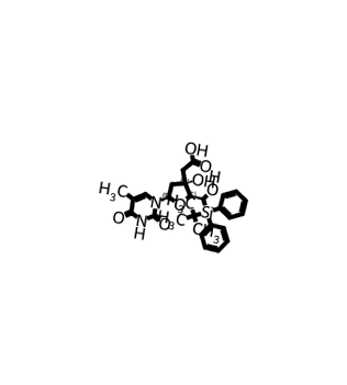 Cc1cn([C@H]2C[C@@](O)(CC(=O)O)[C@@H](C(O)[Si](c3ccccc3)(c3ccccc3)C(C)(C)C)O2)c(=O)[nH]c1=O